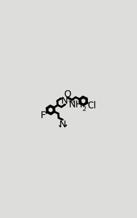 CN(C)CCCc1cc(F)ccc1C1CCN(C(=O)[C@H](N)Cc2ccc(Cl)cc2)CC1